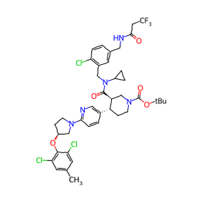 Cc1cc(Cl)c(O[C@H]2CCN(c3ccc([C@H]4CCN(C(=O)OC(C)(C)C)C[C@@H]4C(=O)N(Cc4cc(CNC(=O)CC(F)(F)F)ccc4Cl)C4CC4)cn3)C2)c(Cl)c1